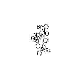 CC(C)(C)[Si](OCc1cccc(N2C(=O)N(c3ccccc3Br)Cc3cnc(S(C)(=O)=O)nc32)c1)(c1ccccc1)c1ccccc1